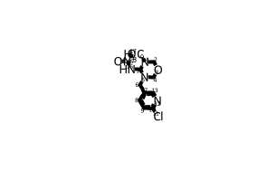 CN1COCN(Cc2ccc(Cl)nc2)C1N[N+](=O)[O-]